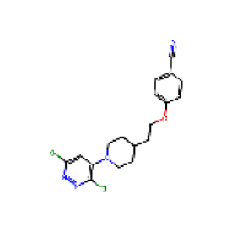 N#Cc1ccc(OCCC2CCN(c3cc(Cl)nnc3Cl)CC2)cc1